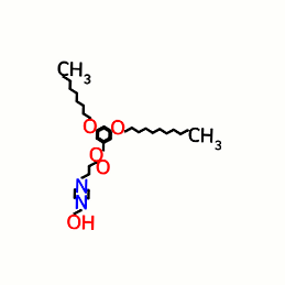 CCCCCCCCCCCOc1cc(COC(=O)CCCN2CCN(CCO)CC2)cc(OCCCCCCCCC)c1